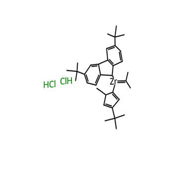 C[C](C)=[Zr]([C]1=CC(C(C)(C)C)=CC1C)[CH]1c2ccc(C(C)(C)C)cc2-c2cc(C(C)(C)C)ccc21.Cl.Cl